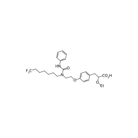 CCOC(Cc1ccc(OCCN(CCCCCCC(F)(F)F)C(=O)Nc2ccccc2)cc1)C(=O)O